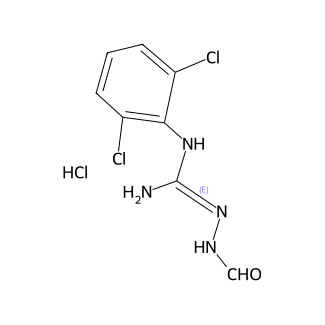 Cl.N/C(=N\NC=O)Nc1c(Cl)cccc1Cl